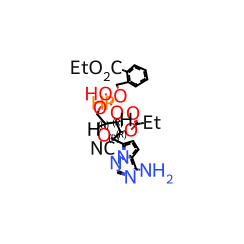 CCOC(=O)c1ccccc1CO[PH]1(O)OC[C@H]2O[C@@](C#N)(c3ccc4c(N)ncnn34)[C@H](OC(=O)CC)[C@@H]2O1